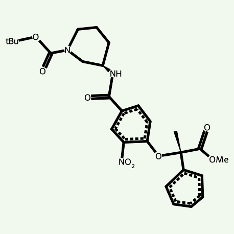 COC(=O)[C@@](C)(Oc1ccc(C(=O)N[C@@H]2CCCN(C(=O)OC(C)(C)C)C2)cc1[N+](=O)[O-])c1ccccc1